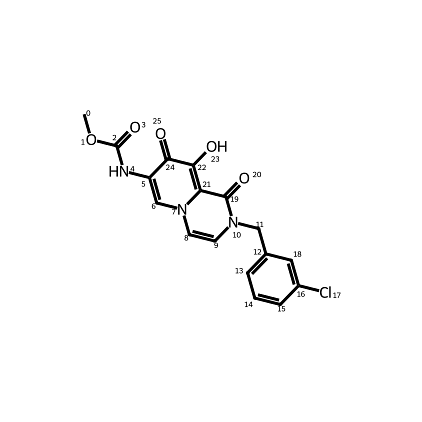 COC(=O)Nc1cn2ccn(Cc3cccc(Cl)c3)c(=O)c2c(O)c1=O